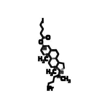 CC(C)CCC[C@@H](C)[C@H]1CCC2C3CC=C4C[C@@H](OC(=O)CCCI)CC[C@]4(C)C3CC[C@@]21C